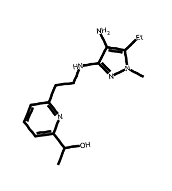 CCc1c(N)c(NCCc2cccc(C(C)O)n2)nn1C